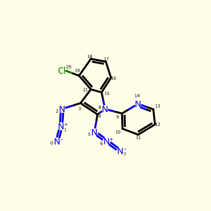 [N-]=[N+]=Nc1c(N=[N+]=[N-])n(-c2ccccn2)c2cccc(Cl)c12